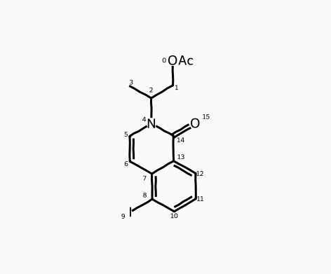 CC(=O)OCC(C)n1ccc2c(I)cccc2c1=O